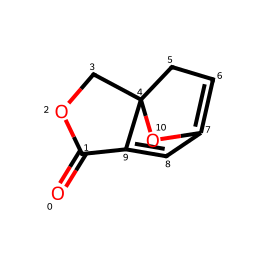 O=C1OCC23CC=C(C=C12)O3